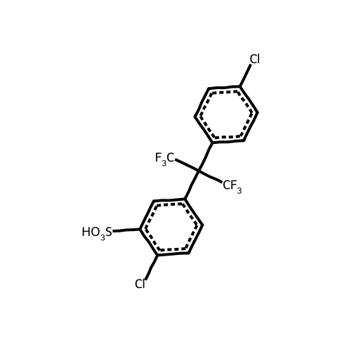 O=S(=O)(O)c1cc(C(c2ccc(Cl)cc2)(C(F)(F)F)C(F)(F)F)ccc1Cl